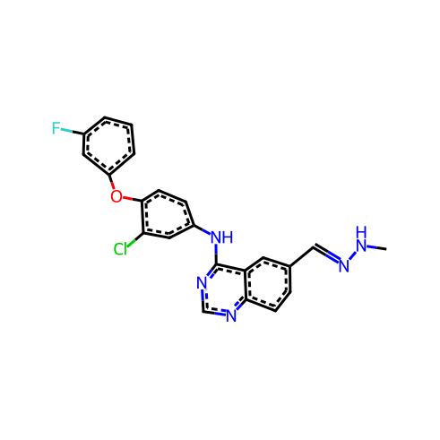 CNN=Cc1ccc2ncnc(Nc3ccc(Oc4cccc(F)c4)c(Cl)c3)c2c1